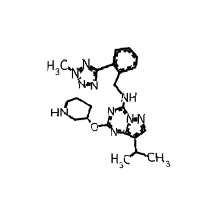 CC(C)c1cnn2c(NCc3ccccc3-c3nnn(C)n3)nc(O[C@@H]3CCCNC3)nc12